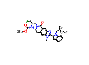 COC1(Cn2c(-c3nc4cc5c(cc4n3C)CCN(C[C@@H](CF)NC(=O)OC(C)(C)C)C5=O)cc3ccccc32)CC1